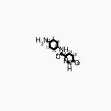 N[C@H]1CC[C@H](NC(=O)C2=NNC(=O)CC2)CC1